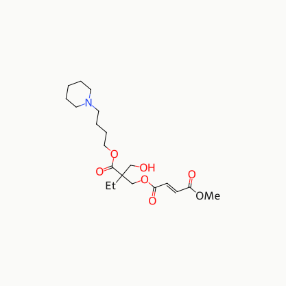 CCC(CO)(COC(=O)/C=C/C(=O)OC)C(=O)OCCCCN1CCCCC1